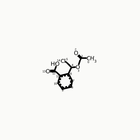 CC(=O)OC(Cl)c1ccccc1C(=O)O